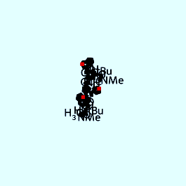 CNC(C)C(=O)NC(C(=O)N1CCc2ccccc2[C@H]1C(=O)N(CCc1ccccc1)Cc1ccc(C(=O)N[C@H]2C[C@@H](C(=O)N[C@@H]3CCCc4ccccc43)N(C(=O)C(NC(=O)C(C)NC)C(C)(C)C)C2)cc1)C(C)(C)C